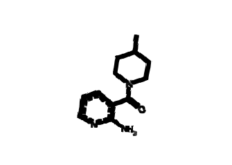 CC1CCN(C(=O)c2cccnc2N)CC1